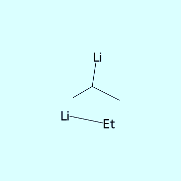 [Li][CH2]C.[Li][CH](C)C